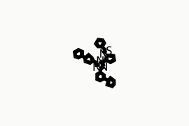 c1ccc(-c2ccc(-c3nc(-c4cccc(-c5ccccc5)c4)nc(-c4cccc5sc(-c6ccccc6)nc45)n3)cc2)cc1